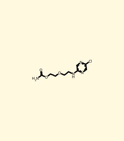 NC(=O)OCCOCCNc1cnc(Cl)cn1